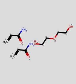 C=CC(N)=O.C=CC(N)=O.OCCOCCO